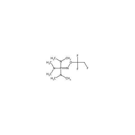 CN(C)P(=NOC(F)(F)CF)(N(C)C)N(C)C